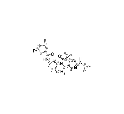 Cc1ccc(NC(=O)c2cc(F)cc(F)c2)cc1N1Cc2cnc(NC3CC3)nc2C2(CC2)C1=O